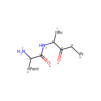 CCCCCC(N)C(=O)NC(CCCC)C(=O)CC(C)C